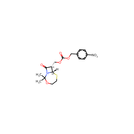 CC1(C)OCCS[C@H]2[C@@H](COC(=O)OCc3ccc([N+](=O)[O-])cc3)C(=O)N21